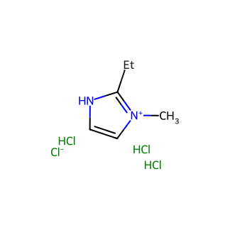 CCc1[nH]cc[n+]1C.Cl.Cl.Cl.[Cl-]